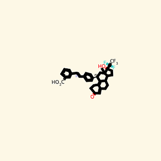 CC12C[C@H](c3ccc(/C=C/c4cccc(C(=O)O)c4)cc3)C3=C4CCC(=O)C=C4CCC3C1CCC2(O)C(F)(F)C(F)(F)F